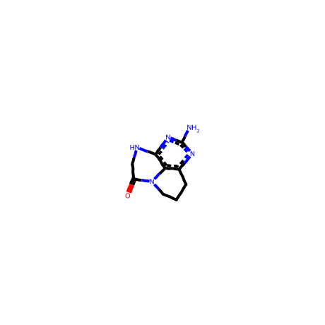 Nc1nc2c3c(n1)NCC(=O)N3CCC2